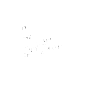 CCN(CCN1CCOCC1)c1ccc(C(=O)O)c(O)c1